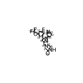 O=C1CN(Cc2cc(-c3cc(F)cc(OC(F)F)c3)n(-c3cccnc3)n2)CCN1